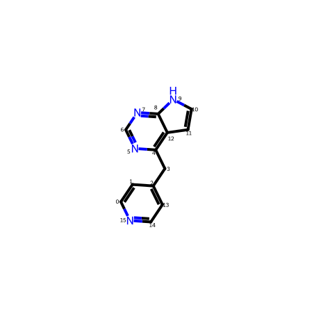 c1cc(Cc2ncnc3[nH]ccc23)ccn1